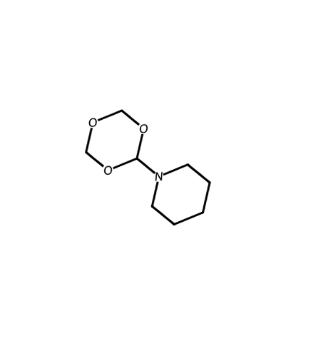 C1CCN(C2OCOCO2)CC1